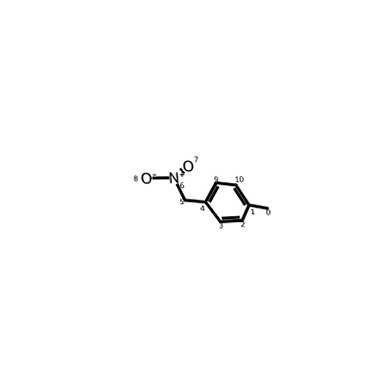 Cc1ccc(C[N+](=O)[O-])cc1